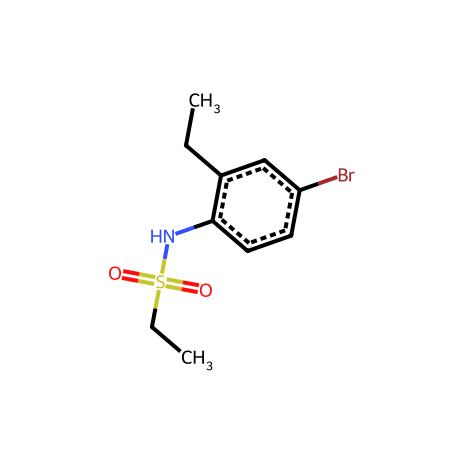 CCc1cc(Br)ccc1NS(=O)(=O)CC